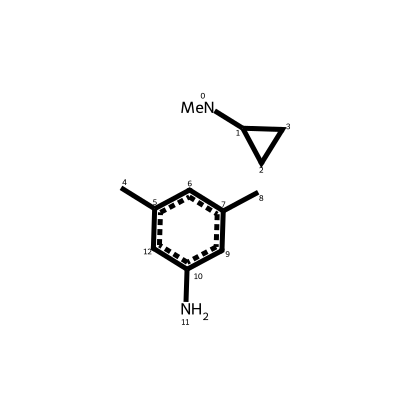 CNC1CC1.Cc1cc(C)cc(N)c1